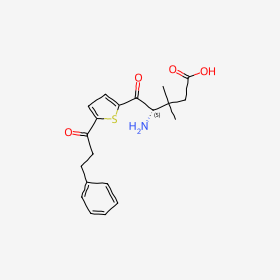 CC(C)(CC(=O)O)[C@H](N)C(=O)c1ccc(C(=O)CCc2ccccc2)s1